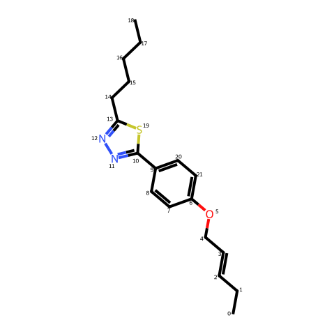 CCC=CCOc1ccc(-c2nnc(CCCCC)s2)cc1